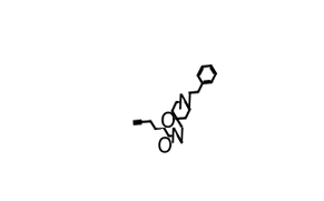 C#CCC[C@H]1OC2(CCN(CCc3ccccc3)CC2)CN(C)C1=O